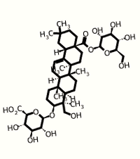 CC1(C)CC[C@]2(C(=O)O[C@@H]3O[C@H](CO)[C@@H](O)[C@H](O)[C@H]3O)CC[C@]3(C)C(=CC[C@@H]4[C@@]5(C)CC[C@H](O[C@@H]6O[C@H](C(=O)O)[C@@H](O)[C@H](O)[C@H]6O)[C@](C)(CO)[C@@H]5CC[C@]43C)[C@@H]2C1